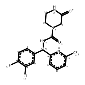 O=C1CN(C(=O)N[C@H](c2ccc(F)c(Cl)c2)c2cccc(C(F)(F)F)n2)CCN1